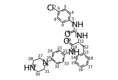 O=C(Nc1ccc(Cl)cc1)N[C@@H](Cc1ccccc1)C(=O)Nc1ccc(N2CCNCC2)cc1